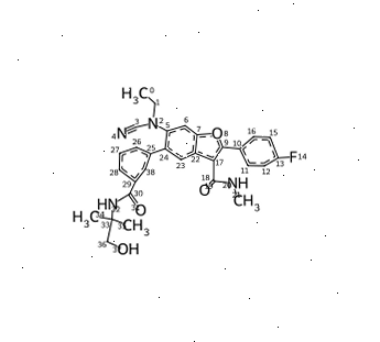 CCN(C#N)c1cc2oc(-c3ccc(F)cc3)c(C(=O)NC)c2cc1-c1cccc(C(=O)NC(C)(C)CO)c1